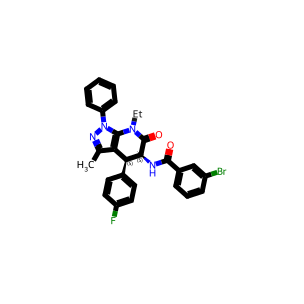 CCN1C(=O)[C@@H](NC(=O)c2cccc(Br)c2)[C@@H](c2ccc(F)cc2)c2c(C)nn(-c3ccccc3)c21